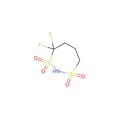 O=S1(=O)CCCC(F)(F)S(=O)(=O)N1